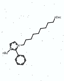 CCCCCCCCCCCCCCCCCCC[n+]1ccn(CCCC)c1-c1ccccc1